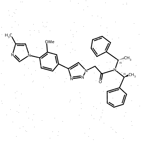 COc1cc(-c2cn(CC(=O)N([C@@H](C)c3ccccc3)[C@@H](C)c3ccccc3)nn2)ccc1-n1cnc(C)c1